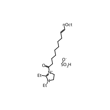 CCCCCCCCC=CCCCCCCCC(=O)[N+]1=C(CC)N(CC)CC1.O=S(=O)([O-])O